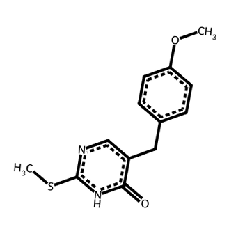 COc1ccc(Cc2cnc(SC)[nH]c2=O)cc1